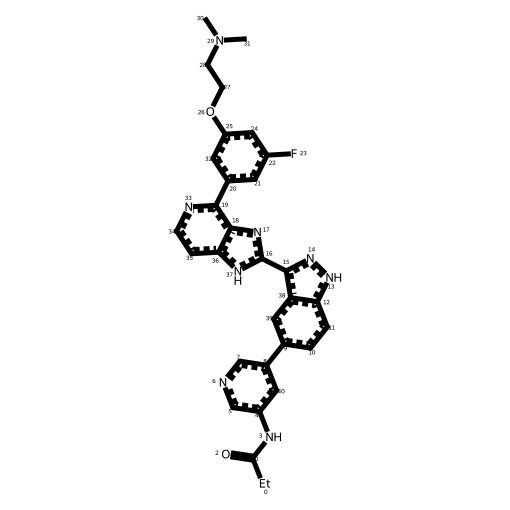 CCC(=O)Nc1cncc(-c2ccc3[nH]nc(-c4nc5c(-c6cc(F)cc(OCCN(C)C)c6)nccc5[nH]4)c3c2)c1